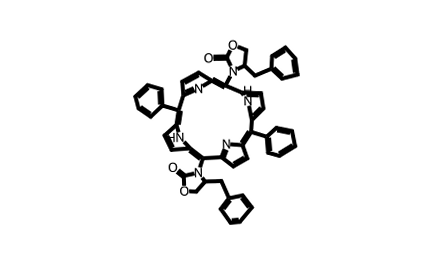 O=C1OCC(Cc2ccccc2)N1c1c2nc(c(-c3ccccc3)c3ccc([nH]3)c(N3C(=O)OCC3Cc3ccccc3)c3nc(c(-c4ccccc4)c4ccc1[nH]4)C=C3)C=C2